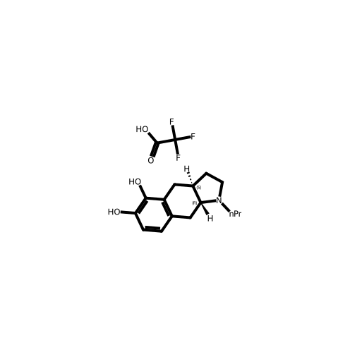 CCCN1CC[C@@H]2Cc3c(ccc(O)c3O)C[C@H]21.O=C(O)C(F)(F)F